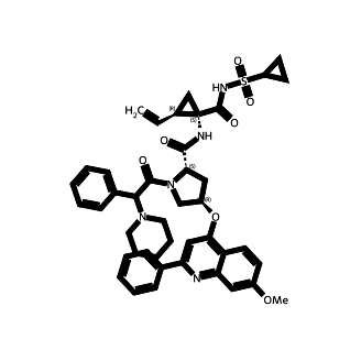 C=C[C@H]1C[C@@]1(NC(=O)[C@@H]1C[C@@H](Oc2cc(-c3ccccc3)nc3cc(OC)ccc23)CN1C(=O)C(c1ccccc1)N1CCCCC1)C(=O)NS(=O)(=O)C1CC1